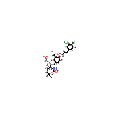 COCOC[C@@]1(CCc2ccc(OCCCc3ccc(Cl)c(Cl)c3)c(C(F)(F)F)c2)CCC(C)(C)OC(=O)N1